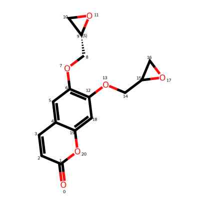 O=c1ccc2cc(OC[C@@H]3CO3)c(OCC3CO3)cc2o1